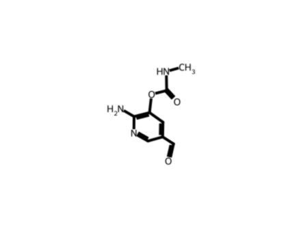 CNC(=O)Oc1cc(C=O)cnc1N